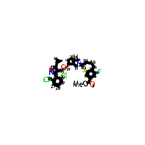 COC(=O)c1cc(F)c2c(c1)SC(N1CC3[C@H](CC[C@H]3COCc3c(-c4c(Cl)cccc4Cl)noc3C3CC3)C1)CCC2